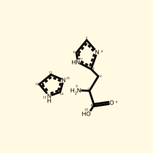 NC(Cc1ncc[nH]1)C(=O)O.c1c[nH]cn1